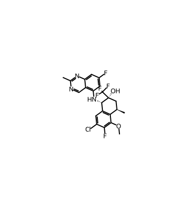 COc1c(F)c(Cl)cc2c1[C@H](C)C[C@](O)(C(F)(F)F)[C@H]2Nc1cc(F)cc2nc(C)ncc12